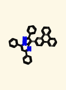 c1ccc(-c2cc(-c3ccccc3)n3nc(-c4ccccc4)c(-c4ccc5c6ccccc6c6ccccc6c5c4)c3n2)cc1